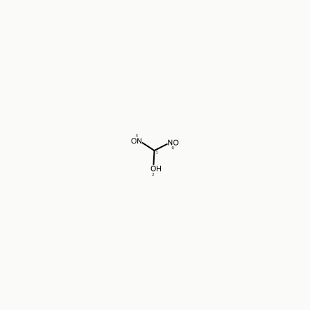 O=NC(O)N=O